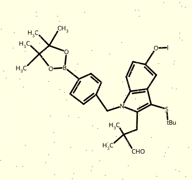 CC(C)(C=O)Cc1c(SC(C)(C)C)c2cc(OI)ccc2n1Cc1ccc(B2OC(C)(C)C(C)(C)O2)cc1